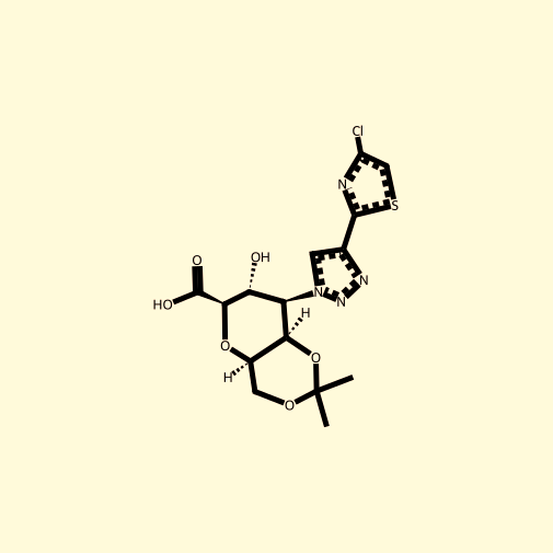 CC1(C)OC[C@H]2O[C@@H](C(=O)O)[C@H](O)[C@@H](n3cc(-c4nc(Cl)cs4)nn3)[C@H]2O1